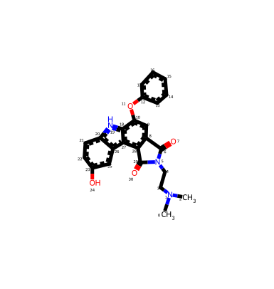 CN(C)CCN1C(=O)c2cc(Oc3ccccc3)c3[nH]c4ccc(O)cc4c3c2C1=O